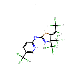 F/C(=C1/SC(Nc2ccc(C(F)(F)F)cn2)=NC1(C(F)(F)F)C(F)(F)F)C(F)(F)F